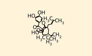 C=C(C)C1CC2(CC=C(C)C)CC(=O)C(C(O)=C(C(=O)c3ccc(O)c(O)c3)C2=O)C1(C)C